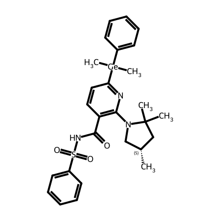 C[C@@H]1CN(c2n[c]([Ge]([CH3])([CH3])[c]3ccccc3)ccc2C(=O)NS(=O)(=O)c2ccccc2)C(C)(C)C1